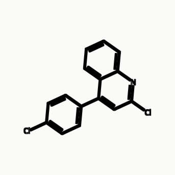 Clc1ccc(-c2cc(Cl)nc3ccccc23)cc1